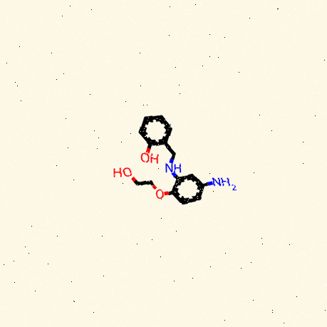 Nc1ccc(OCCO)c(NCc2ccccc2O)c1